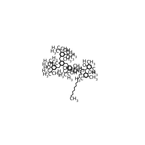 CCCCCCCCCCCCSC(C)CC(c1cc(C)cc(C)c1O)c1cc(C)cc(C)c1O.Cc1c(Cc2cc(C(C)(C)C)c(O)c(C(C)(C)C)c2)c(C)c(Cc2cc(C(C)(C)C)c(O)c(C(C)(C)C)c2)c(C)c1Cc1cc(C(C)(C)C)c(O)c(C(C)(C)C)c1